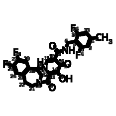 Cc1cc(F)c(CNC(=O)c2cn3c(c(O)c2=O)C(=O)N2CCc4cc(F)c(F)cc4[C@@H]3C2)c(F)c1